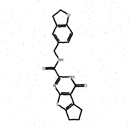 O=C(NCc1ccc2c(c1)CCO2)c1nc2sc3c(c2c(=O)[nH]1)CCC3